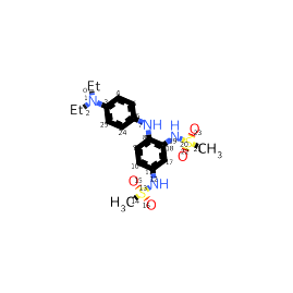 CCN(CC)c1ccc(Nc2ccc(NS(C)(=O)=O)cc2NS(C)(=O)=O)cc1